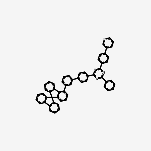 c1ccc(-c2nc(-c3ccc(-c4cccnc4)cc3)nc(-c3ccc(-c4cccc(-c5cccc6c5-c5ccccc5C65c6ccccc6-c6ccccc65)c4)cc3)n2)cc1